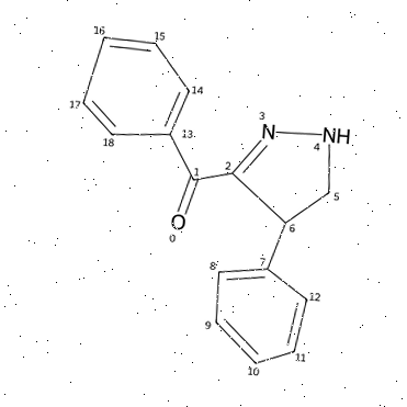 O=C(C1=NNCC1c1ccccc1)c1ccccc1